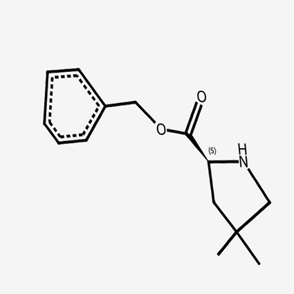 CC1(C)CN[C@H](C(=O)OCc2ccccc2)C1